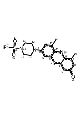 Cc1cc(=O)cc2sc3cc(N4CCN(S(=O)(=O)C(C)C)CC4)cc(C)c3nc1-2